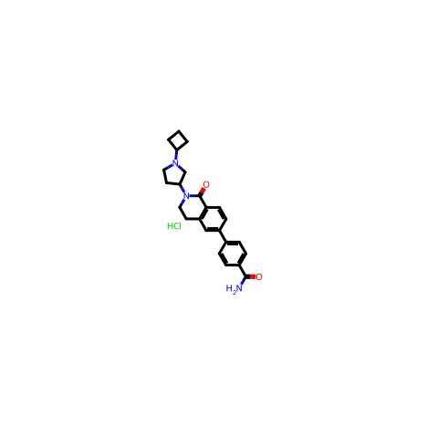 Cl.NC(=O)c1ccc(-c2ccc3c(c2)CCN(C2CCN(C4CCC4)C2)C3=O)cc1